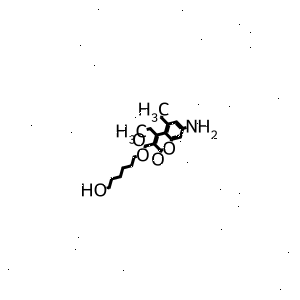 CCc1cc(N)cc2oc(=O)c(C(=O)OCCCCCCO)c(CC)c12